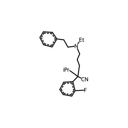 CCN(CCCC(C#N)(c1ccccc1F)C(C)C)CCc1ccccc1